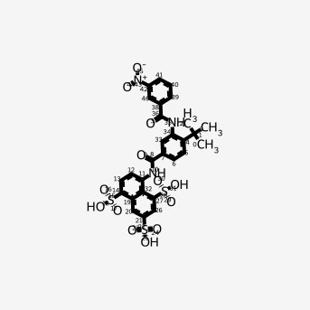 CC(C)(C)c1ccc(C(=O)Nc2ccc(S(=O)(=O)O)c3cc(S(=O)(=O)O)cc(S(=O)(=O)O)c23)cc1NC(=O)c1cccc([N+](=O)[O-])c1